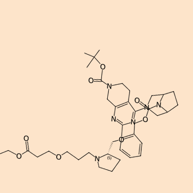 CCOC(=O)CCOCCCN1CCC[C@H]1COc1nc2c(c(N3CC4CCC(C3)N4C(=O)OCc3ccccc3)n1)CCN(C(=O)OC(C)(C)C)C2